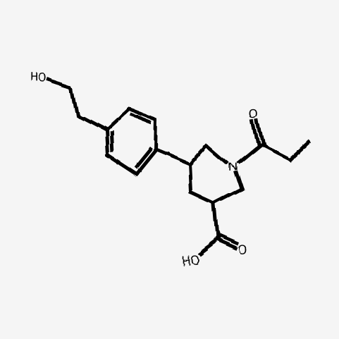 CCC(=O)N1CC(C(=O)O)CC(c2ccc(CCO)cc2)C1